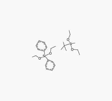 CCO[Si](C)(OCC)C(C)(C)C.CCO[Si](OCC)(c1ccccc1)c1ccccc1